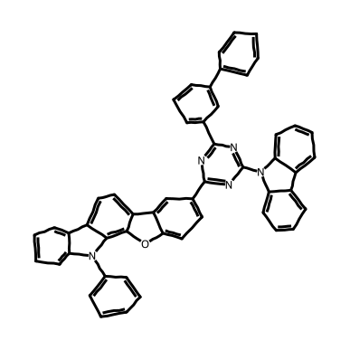 c1ccc(-c2cccc(-c3nc(-c4ccc5oc6c(ccc7c8ccccc8n(-c8ccccc8)c76)c5c4)nc(-n4c5ccccc5c5ccccc54)n3)c2)cc1